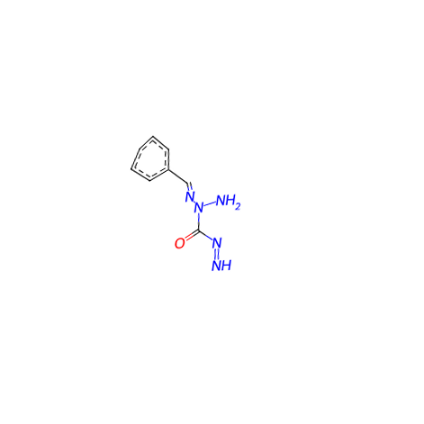 N=NC(=O)N(N)N=Cc1ccccc1